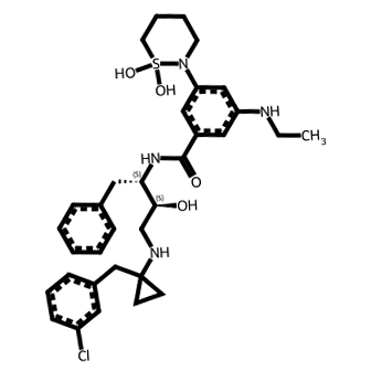 CCNc1cc(C(=O)N[C@@H](Cc2ccccc2)[C@@H](O)CNC2(Cc3cccc(Cl)c3)CC2)cc(N2CCCCS2(O)O)c1